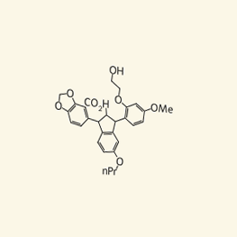 CCCOc1ccc2c(c1)C(c1ccc(OC)cc1OCCO)C(C(=O)O)C2c1ccc2c(c1)OCO2